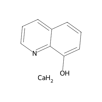 Oc1cccc2cccnc12.[CaH2]